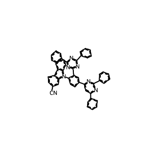 N#Cc1ccc2c3ccccc3n(-c3ccc(-c4cc(-c5ccccc5)nc(-c5ccccc5)n4)cc3-c3nc(-c4ccccc4)nc(-c4ccccc4)n3)c2c1